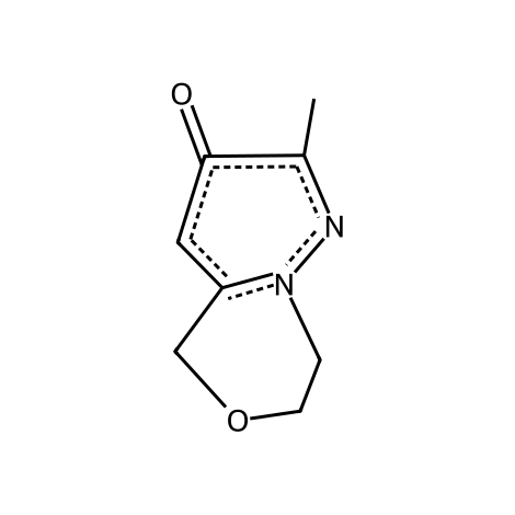 Cc1nn2c(cc1=O)COCC2